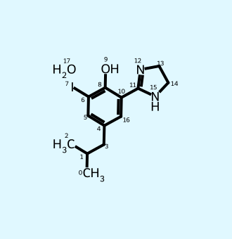 CC(C)Cc1cc(I)c(O)c(C2=NCCN2)c1.O